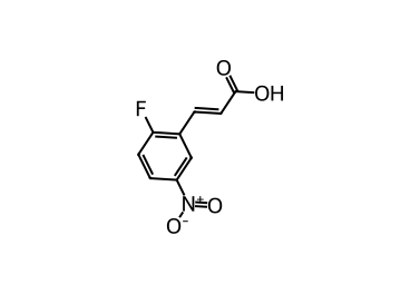 O=C(O)C=Cc1cc([N+](=O)[O-])ccc1F